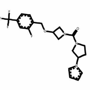 O=C(N1CC(OCc2ccc(C(F)(F)F)cc2F)C1)N1CCC(n2cccc2)C1